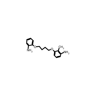 Cc1c(N)cccc1OCCCCOc1ccccc1N